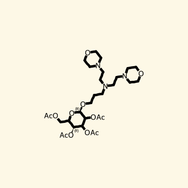 CC(=O)OCC1O[C@@H](OCCCN(CCN2CCOCC2)CCN2CCOCC2)C(OC(C)=O)C(OC(C)=O)[C@@H]1OC(C)=O